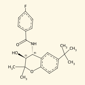 CC(C)(C)c1ccc2c(c1)[C@@H](NC(=O)c1ccc(F)cc1)[C@H](O)C(C)(C)O2